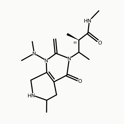 C=C1N(C(C)[C@@H](C)C(=O)NC)C(=O)C2=C(CNC(C)C2)N1N(C)C